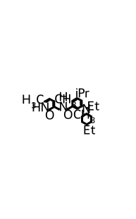 CCN(c1cc(C(C)C)cc(C(=O)NCc2c(C)cc(C)[nH]c2=O)c1C)[C@H]1CC[C@H](CC)CC1